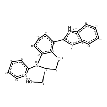 OC[C@H]1COc2c(-c3nc4ccccc4[nH]3)cccc2N1c1ccccn1